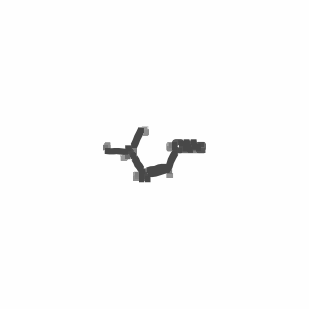 CO/C=N\N(C)C